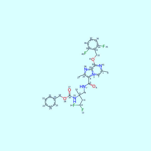 Cc1cn2c(C(=O)NCC(C)(CC(F)F)NC(=O)OCc3ccccc3)c(C)nc2c(OCc2c(F)cccc2F)n1